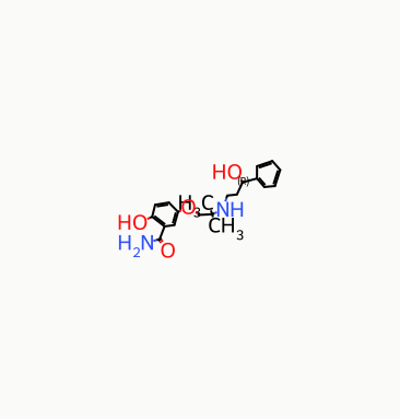 CC(C)(COc1ccc(O)c(C(N)=O)c1)NCC[C@@H](O)c1ccccc1